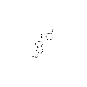 CCN1CCCC(C(=O)c2ccc3cc(OC)ccc3c2)C1